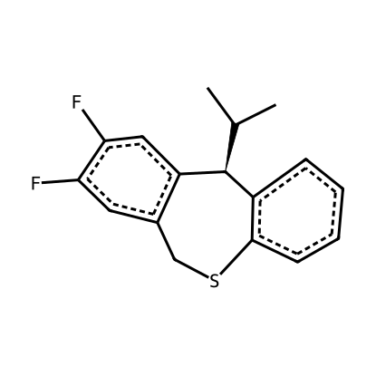 CC(C)[C@@H]1c2cc(F)c(F)cc2CSc2ccccc21